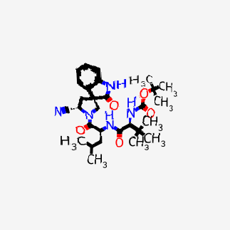 CC(C)C[C@H](NC(=O)[C@@H](NC(=O)OC(C)(C)C)C(C)(C)C)C(=O)N1C[C@]2(C[C@H]1C#N)C(=O)Nc1ccccc12